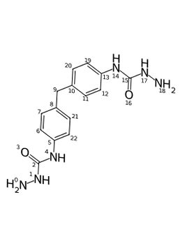 NNC(=O)Nc1ccc(Cc2ccc(NC(=O)NN)cc2)cc1